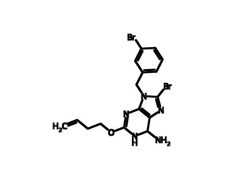 C=CCCOC1=Nc2c(nc(Br)n2Cc2cccc(Br)c2)C(N)N1